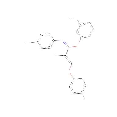 COc1ccc(/N=C(Oc2cccc(OC)c2)\C(C)=C\Oc2ccc(C)cc2)cc1